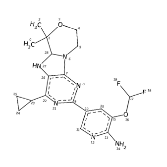 CC1(C)OCCN2c3nc(-c4cnc(N)c(OC(F)F)c4)nc(C4CC4)c3NC21